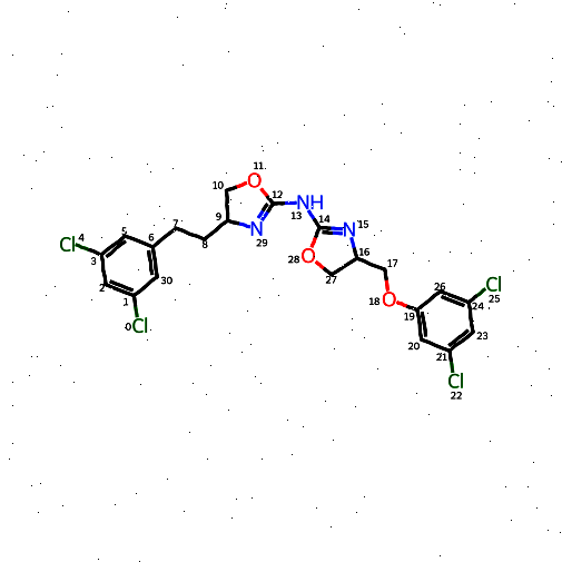 Clc1cc(Cl)cc(CCC2COC(NC3=NC(COc4cc(Cl)cc(Cl)c4)CO3)=N2)c1